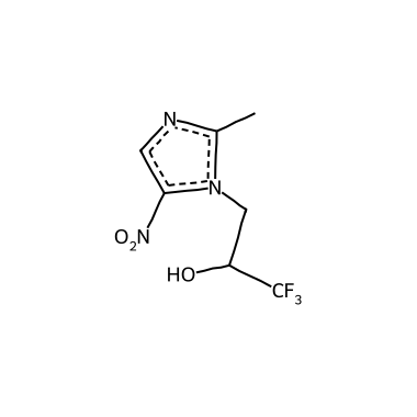 Cc1ncc([N+](=O)[O-])n1CC(O)C(F)(F)F